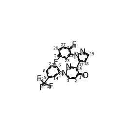 O=c1ccn(-c2cccc(C(F)(F)F)c2)nc1-c1ccnn1-c1cc(F)ccc1F